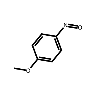 COc1ccc(N=O)cc1